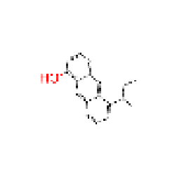 CCC(C)c1cccc2cc3c(O)cccc3cc12